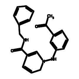 CC(=O)c1cccc(NN2C=C(C(=O)NCc3ccccc3)C=CC2)c1